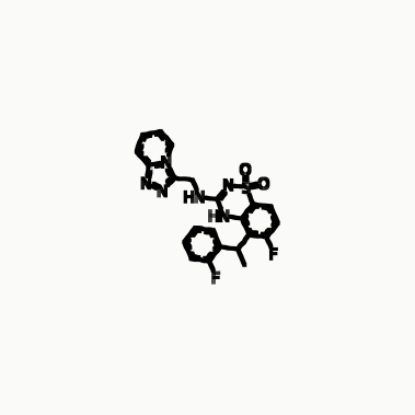 CC(c1ccccc1F)c1c(F)ccc2c1NC(NCc1nnc3ccccn13)=NS2(=O)=O